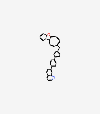 C1=CC2Oc3ccccc(Cc4ccc(-c5ccc(-c6ccc7cccnc7c6)cc5)cc4)cccc3C2C=C1